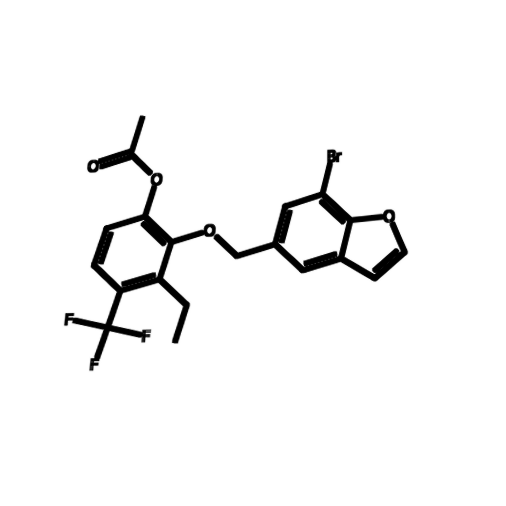 CCc1c(C(F)(F)F)ccc(OC(C)=O)c1OCc1cc(Br)c2occc2c1